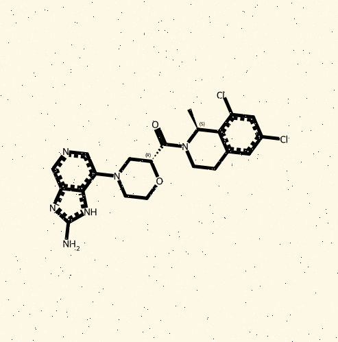 C[C@H]1c2c(Cl)cc(Cl)cc2CCN1C(=O)[C@H]1CN(c2cncc3nc(N)[nH]c23)CCO1